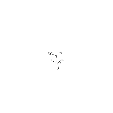 CC[S-].[CH3][Sn+]([CH3])[CH3]